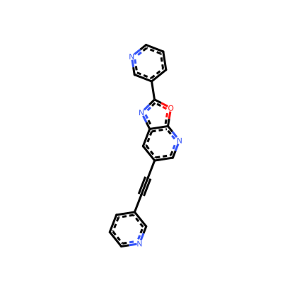 C(#Cc1cnc2oc(-c3cccnc3)nc2c1)c1cccnc1